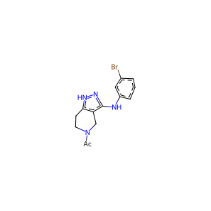 CC(=O)N1CCc2[nH]nc(Nc3cccc(Br)c3)c2C1